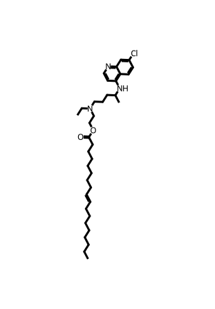 CCCCCCCC/C=C/CCCCCCCC(=O)OCCN(CC)CCCC(C)Nc1ccnc2cc(Cl)ccc12